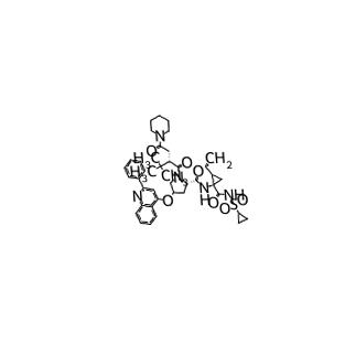 C=CC1C[C@]1(NC(=O)[C@@H]1C[C@@H](Oc2cc(-c3ccccc3)nc3ccccc23)CN1C(=O)[C@@H](CC(=O)N1CCCCC1)C(C)(C)C)C(=O)NS(=O)(=O)C1CC1